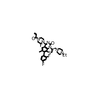 C=CC(=O)N1CCN(c2nc(=O)n3c4c(c(-c5ccc(F)cc5F)c(C)cc24)SC[C@@H]3CN2CCN(CC)CC2)[C@@H](C)C1